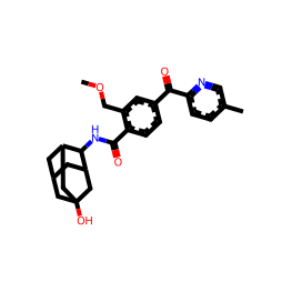 COCc1cc(C(=O)c2ccc(C)cn2)ccc1C(=O)NC1C2CC3CC1CC(O)(C3)C2